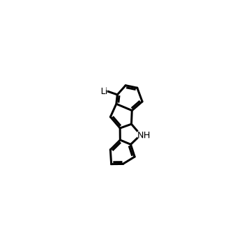 [Li][c]1cccc2c1C=C1c3ccccc3NC12